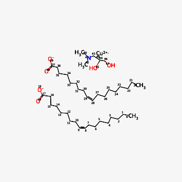 CCCCCCCC/C=C\CCCCCCCC(=O)[O-].CCCCCCCC/C=C\CCCCCCCC(=O)[O-].CN(C)CC(O)CO.[Cu+2]